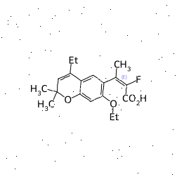 CCOc1cc2c(cc1/C(C)=C(/F)C(=O)O)C(CC)=CC(C)(C)O2